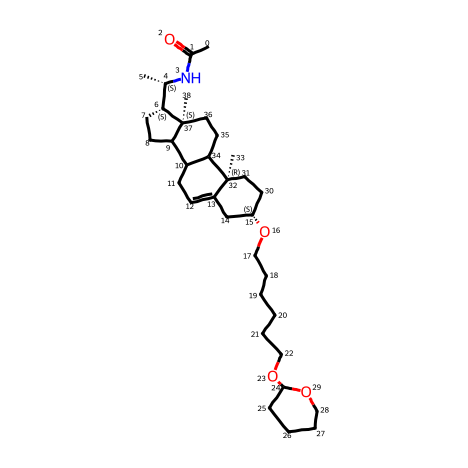 CC(=O)N[C@@H](C)[C@H]1CCC2C3CC=C4C[C@@H](OCCCCCCOC5CCCCO5)CC[C@]4(C)C3CC[C@@]21C